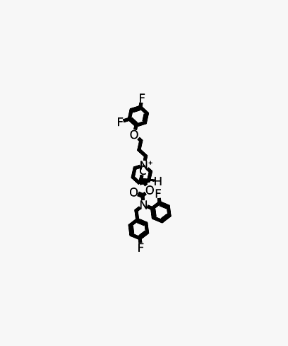 O=C(O[C@H]1C[N+]2(CCCOc3ccc(F)cc3F)CCC1CC2)N(Cc1ccc(F)cc1)c1ccccc1F